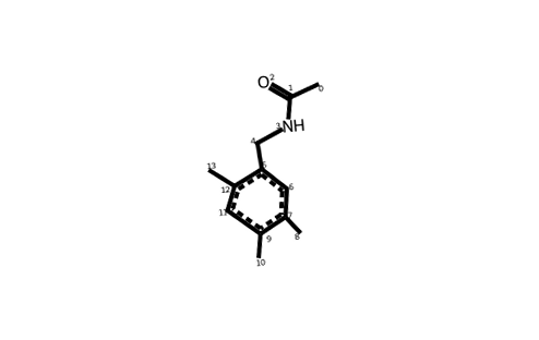 CC(=O)NCc1cc(C)c(C)cc1C